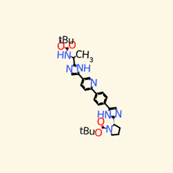 C[C@H](NC(=O)OC(C)(C)C)c1ncc(-c2ccc(-c3ccc(-c4cnc([C@@H]5CCCN5C(=O)OC(C)(C)C)[nH]4)cc3)nc2)[nH]1